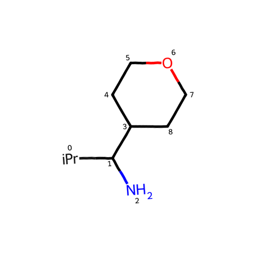 CC(C)C(N)C1CCOCC1